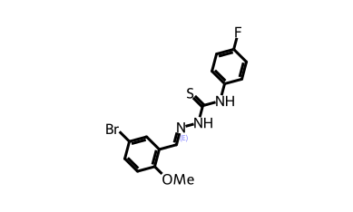 COc1ccc(Br)cc1/C=N/NC(=S)Nc1ccc(F)cc1